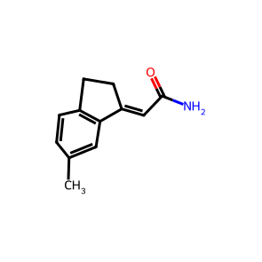 Cc1ccc2c(c1)C(=CC(N)=O)CC2